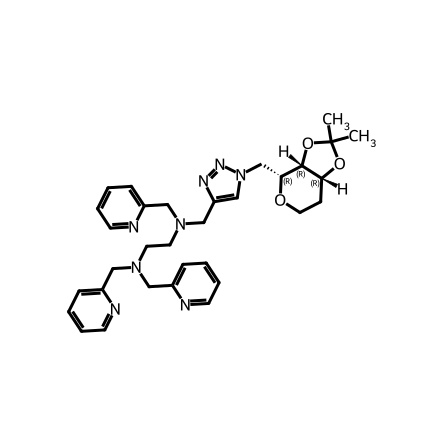 CC1(C)O[C@H]2[C@@H](Cn3cc(CN(CCN(Cc4ccccn4)Cc4ccccn4)Cc4ccccn4)nn3)OCC[C@H]2O1